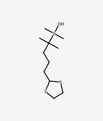 CC(C)(CCCC1SCCS1)[Si](C)(C)O